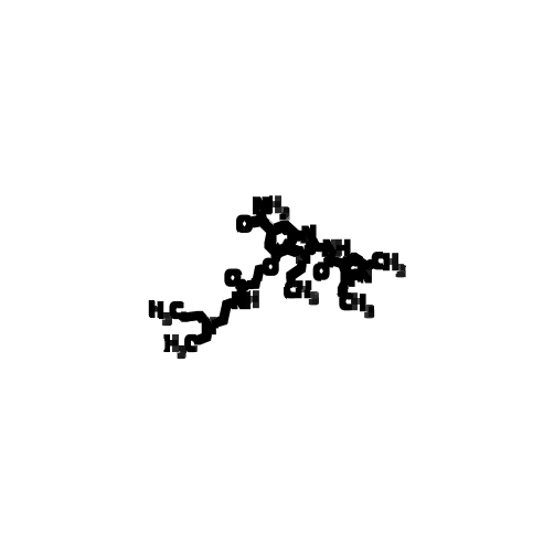 CCCN(CC)CCNC(=O)CCOc1cc(C(N)=O)cc2nc(NC(=O)c3cc(C)nn3CC)n(CCC)c12